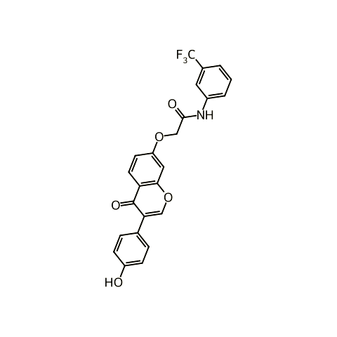 O=C(COc1ccc2c(=O)c(-c3ccc(O)cc3)coc2c1)Nc1cccc(C(F)(F)F)c1